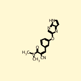 CN(C)C(=O)C(C#N)=Cc1cccc(Oc2cnc3[nH]ccc3n2)c1